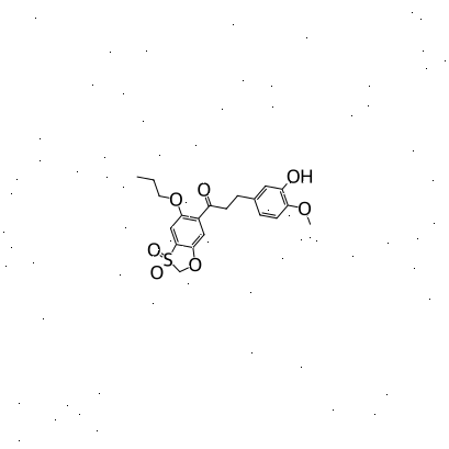 CCCOc1cc2c(cc1C(=O)CCc1ccc(OC)c(O)c1)OCS2(=O)=O